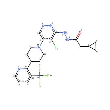 O=C(CC1CC1)NNc1nncc(N2CCC(c3ncccc3C(F)(F)F)CC2)c1Cl